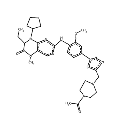 CCC1C(=O)N(C)c2cnc(Nc3ccc(-c4nnc(CN5CCN(C(C)=O)CC5)s4)cc3OC)nc2N1C1CCCC1